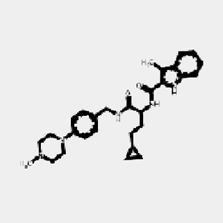 Cc1c(C(=O)NC(CCC2CC2)C(=O)NCc2ccc(N3CCN(C)CC3)cc2)[nH]c2ccccc12